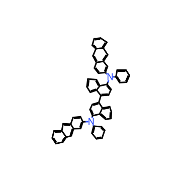 c1ccc(N(c2ccc3cc4ccccc4cc3c2)c2ccc(-c3ccc(N(c4ccccc4)c4ccc5cc6ccccc6cc5c4)c4ccccc34)c3ccccc23)cc1